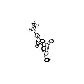 Cn1c(=O)n(-c2ccc(OCc3ccccc3)nc2OCc2ccccc2)c2cccc(N3CCC(CCNC(=O)OC(C)(C)C)CC3)c21